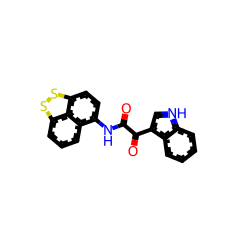 O=C(Nc1ccc2c3c(cccc13)SS2)C(=O)c1c[nH]c2ccccc12